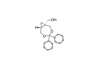 OC[C@]12COC(c3ccccc3)(c3ccccc3)OC[C@@H]1C2